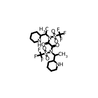 CC(C1CCCCN1)N(C(=O)C(=O)N(C(C)C1CCCCN1)S(=O)(=O)C(F)(F)F)S(=O)(=O)C(F)(F)F